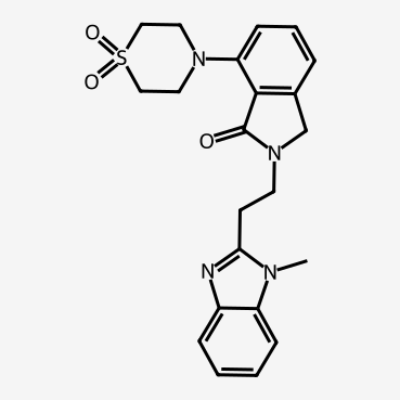 Cn1c(CCN2Cc3cccc(N4CCS(=O)(=O)CC4)c3C2=O)nc2ccccc21